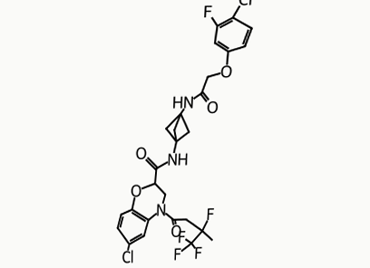 CC(F)(CC(=O)N1CC(C(=O)NC23CC(NC(=O)COc4ccc(Cl)c(F)c4)(C2)C3)Oc2ccc(Cl)cc21)C(F)(F)F